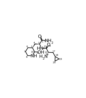 NC(=O)[C@H](C[C@@H]1CCCNC1O)NC(=O)[C@@H](N)CC1CC1